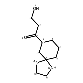 O=C(CCO)N1CCCC2(C1)NCCS2